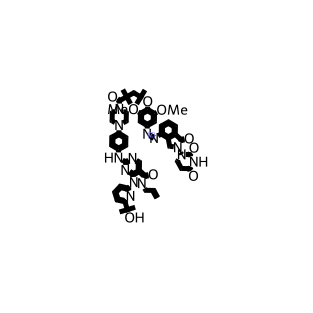 C=CCn1c(=O)c2cnc(Nc3ccc(N4CCN(C(=O)C(C)(C)CC(C)(C)Oc5c(OC)cc(/N=N\c6cccc7c6CN(N6CCC(=O)NC6=O)C7=O)cc5OC)CC4)cc3)nc2n1-c1cccc(C(C)(C)O)n1